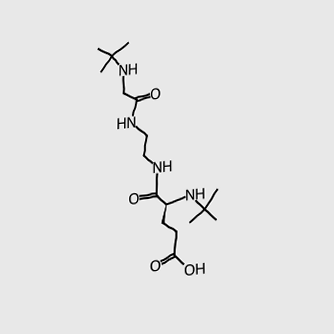 CC(C)(C)NCC(=O)NCCNC(=O)[C@H](CCC(=O)O)NC(C)(C)C